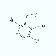 N#Cc1ccc(S)c(CBr)c1C(=O)O